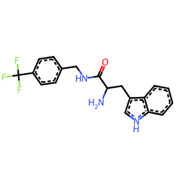 NC(Cc1c[nH]c2ccccc12)C(=O)NCc1ccc(C(F)(F)F)cc1